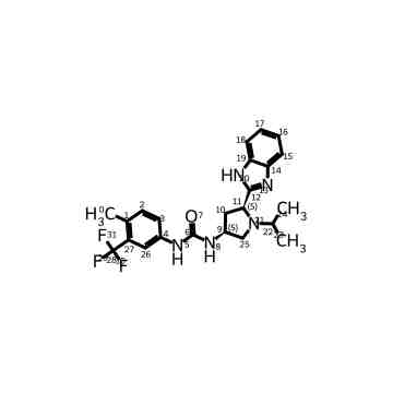 Cc1ccc(NC(=O)N[C@H]2C[C@@H](c3nc4ccccc4[nH]3)N(C(C)C)C2)cc1C(F)(F)F